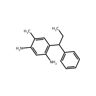 CCC(c1ccccc1)c1cc(C)c(N)cc1N